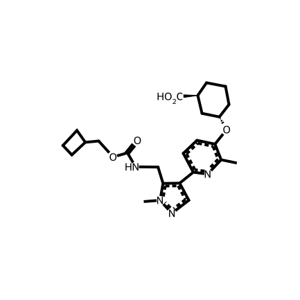 Cc1nc(-c2cnn(C)c2CNC(=O)OCC2CCC2)ccc1O[C@H]1CCC[C@H](C(=O)O)C1